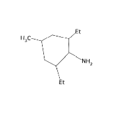 CCC1CC(C)CC(CC)C1N